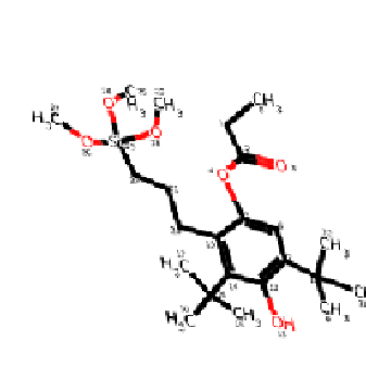 CCC(=O)Oc1cc(C(C)(C)C)c(O)c(C(C)(C)C)c1CCC[Si](OC)(OC)OC